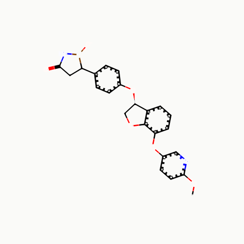 COc1ccc(Oc2cccc3c2OC[C@H]3Oc2ccc(C3CC(=O)N[S+]3[O-])cc2)cn1